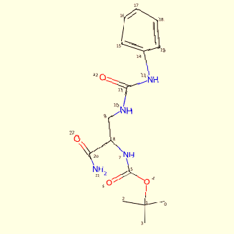 CC(C)(C)OC(=O)NC(CNC(=O)Nc1ccccc1)C(N)=O